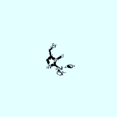 Cn1c(CBr)cnc1[N+](=O)[O-]